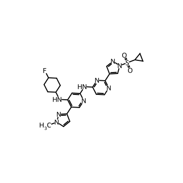 Cn1ccc(-c2cnc(Nc3ccnc(-c4cnn(S(=O)(=O)C5CC5)c4)n3)cc2NC2CCC(F)CC2)n1